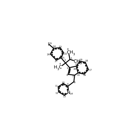 CC(C)C(C)(C1=CC(Cc2ccccn2)c2ccccc21)c1ccc(I)cc1